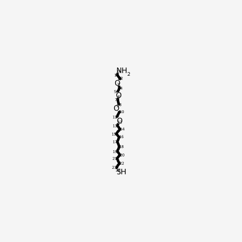 NCCOCCOCCOCCOCCCCCCCCCCCS